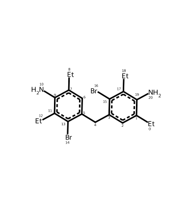 CCc1cc(Cc2cc(CC)c(N)c(CC)c2Br)c(Br)c(CC)c1N